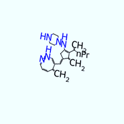 C=C(CCC)C1=C(NN2CCNCC2)C/C(=C\C2=C\N/N=C\C=C/C2=C)C1=C